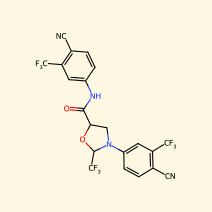 N#Cc1ccc(NC(=O)C2CN(c3ccc(C#N)c(C(F)(F)F)c3)C(C(F)(F)F)O2)cc1C(F)(F)F